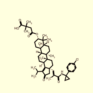 CC(=C[C@@]12CC[C@]3(C)[C@H](CC[C@@H]4[C@@]5(C)CC[C@H](OC(=O)CC(C)(C)C(=O)O)C(C)(C)[C@@H]5CC[C@]43C)C1=C(C(C)C)C(=O)C2)C(=O)NC1(c2ccc(Cl)cc2)CC1